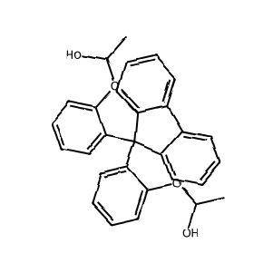 CC(O)Oc1ccccc1C1(c2ccccc2OC(C)O)c2ccccc2-c2ccccc21